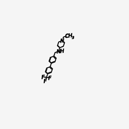 CCN1CCC(NCc2ccc(-c3ccc(C(F)(F)F)cc3)cc2)CC1